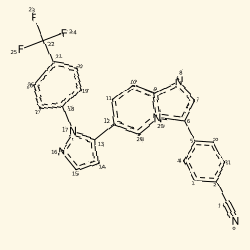 N#Cc1ccc(-c2cnc3ccc(-c4ccnn4-c4ccc(C(F)(F)F)cc4)cn23)cc1